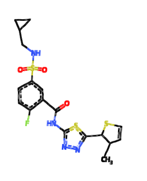 CC1C=CSC1c1nnc(NC(=O)c2cc(S(=O)(=O)NCC3CC3)ccc2F)s1